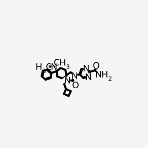 CN(C)[C@]1(c2ccccc2)CC[C@@]2(CC1)CN(c1cnc(C(N)=O)nc1)C(=O)N2CC1CCC1